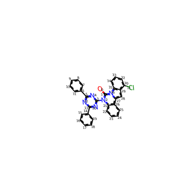 O=c1n(-c2nc(-c3ccccc3)nc(-c3ccccc3)n2)c2ccccc2c2cc3c(Cl)cccc3n12